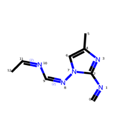 C=Nc1nc(C)cn1/N=C\N=C/C